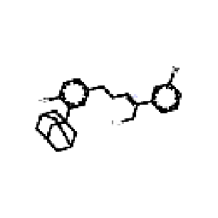 OC/C(=C\CCc1ccc(O)c(C23CC4CC(CC(C4)C2)C3)c1)c1cccc(Br)c1